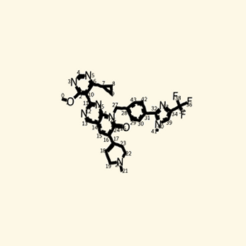 COc1ncnc(C2CC2)c1-c1ncc2cc(C3=CCN(C)CC3)c(=O)n(Cc3ccc(-c4nc(C(F)(F)F)cn4C)cc3)c2n1